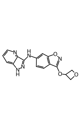 c1cnc2c(Nc3ccc4c(OC5COC5)noc4c3)n[nH]c2c1